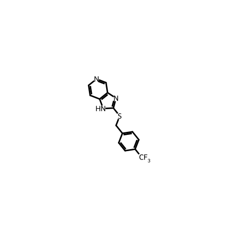 FC(F)(F)c1ccc(CSc2nc3cnccc3[nH]2)cc1